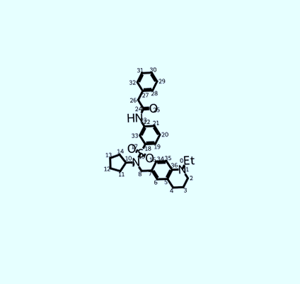 CCN1CCCc2cc(CN(C3CCCC3)S(=O)(=O)c3cccc(NC(=O)Cc4ccccc4)c3)ccc21